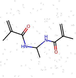 C=C(C)C(=O)N[C](C)NC(=O)C(=C)C